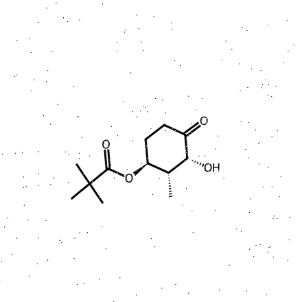 C[C@@H]1[C@@H](OC(=O)C(C)(C)C)CCC(=O)[C@@H]1O